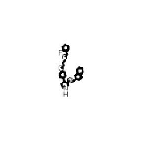 Fc1ccccc1COCCCOc1ccc(C2CCNCC2OCc2ccc3ccccc3c2)cc1